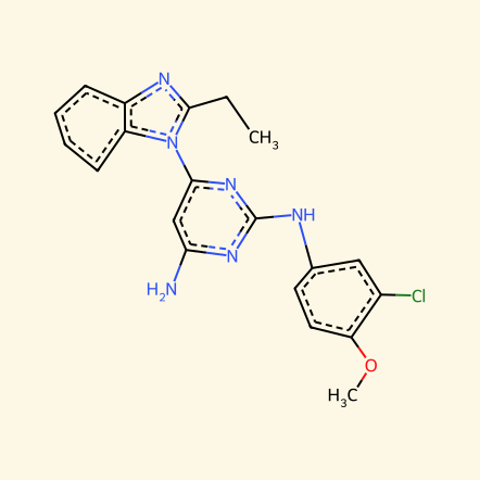 CCc1nc2ccccc2n1-c1cc(N)nc(Nc2ccc(OC)c(Cl)c2)n1